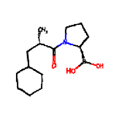 C[C@@H](CC1CCCCC1)C(=O)N1CCC[C@H]1B(O)O